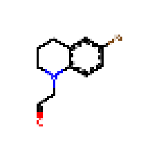 O=CCN1CCCc2cc(Br)ccc21